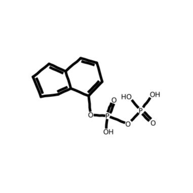 O=P(O)(O)OP(=O)(O)Oc1cccc2ccccc12